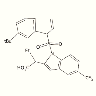 C=CC(c1cccc(C(C)(C)C)c1)S(=O)(=O)n1c(C(CC)C(=O)O)cc2cc(C(F)(F)F)ccc21